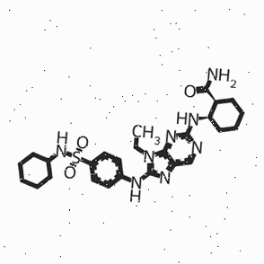 CCn1c(Nc2ccc(S(=O)(=O)NC3CCCCC3)cc2)nc2cnc(N[C@@H]3CCCC[C@@H]3C(N)=O)nc21